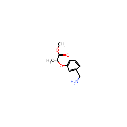 COC(=O)[C@@H](C)Oc1cccc(CN)c1